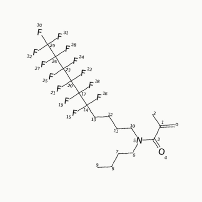 C=C(C)C(=O)N(CCCC)CCCCC(F)(F)C(F)(F)C(F)(F)C(F)(F)C(F)(F)C(F)(F)F